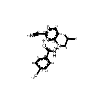 CC(C)CN(NC(=O)c1ccc(F)cc1)c1ccnc(C#N)n1